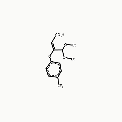 CCOC(OCC)C(=CC(=O)O)Oc1ccc(C(F)(F)F)cc1